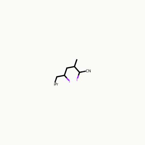 CC(C)CC(I)CC(C)C(I)C#N